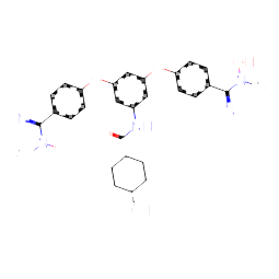 CC(=O)N(O)C(=N)c1ccc(Oc2cc(NC(=O)[C@H]3CC[C@H](C)CC3)cc(Oc3ccc(C(=N)N(O)C(C)=O)cc3)c2)cc1